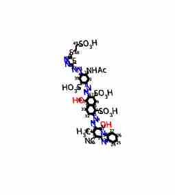 CC(=O)Nc1cc(N=Nc2c(S(=O)(=O)O)cc3c(S(=O)(=O)O)c(N=Nc4c(C)c(C#N)c5nc6ccccc6n5c4O)ccc3c2O)c(S(=O)(=O)O)cc1N=Nc1nnc(SCCS(=O)(=O)O)s1